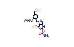 COc1cc(CO)ccc1Cn1ncc2nc(OC(N)=O)nc(O)c21